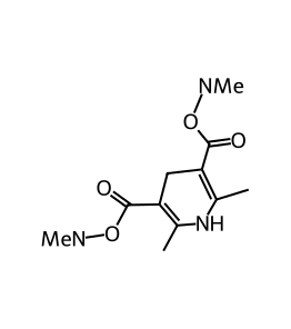 CNOC(=O)C1=C(C)NC(C)=C(C(=O)ONC)C1